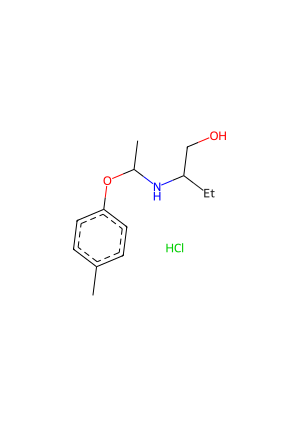 CCC(CO)NC(C)Oc1ccc(C)cc1.Cl